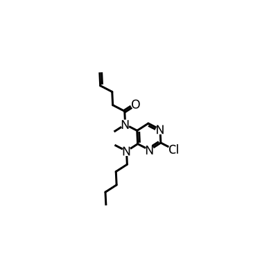 C=CCCC(=O)N(C)c1cnc(Cl)nc1N(C)CCCCC